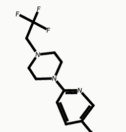 FC(F)(F)CN1CCN(c2ccc(I)cn2)CC1